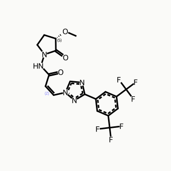 CO[C@H]1CCN(NC(=O)/C=C\n2cnc(-c3cc(C(F)(F)F)cc(C(F)(F)F)c3)n2)C1=O